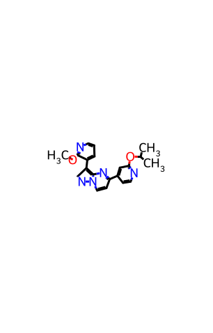 COc1ncccc1-c1cnn2ccc(-c3ccnc(OC(C)C)c3)nc12